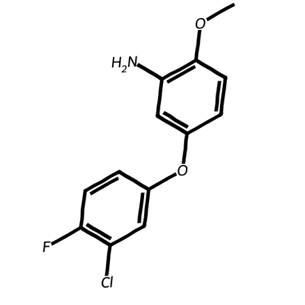 COc1ccc(Oc2ccc(F)c(Cl)c2)cc1N